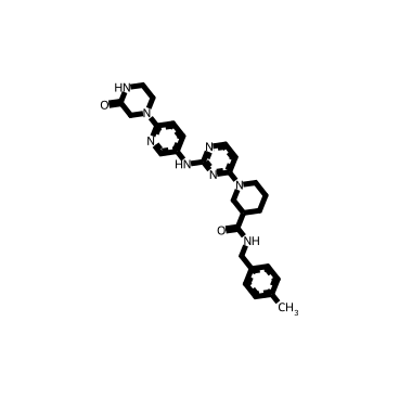 Cc1ccc(CNC(=O)C2CCCN(c3ccnc(Nc4ccc(N5CCNC(=O)C5)nc4)n3)C2)cc1